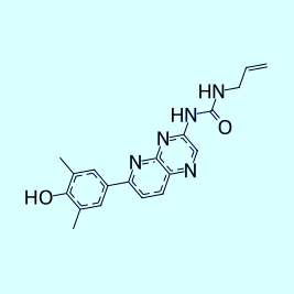 C=CCNC(=O)Nc1cnc2ccc(-c3cc(C)c(O)c(C)c3)nc2n1